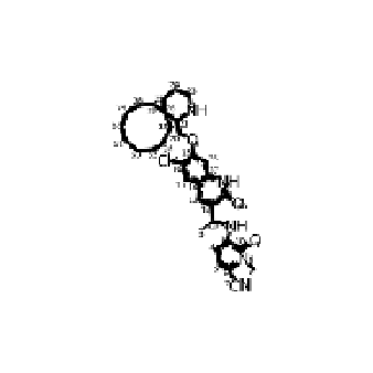 C[C@H](Nc1ccc(C#N)n(C)c1=O)c1cc2cc(Cl)c(OCC3NCCCC34CCCCCCCCC4)cc2[nH]c1=O